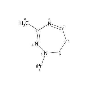 CC1=NN(C(C)C)CCC=N1